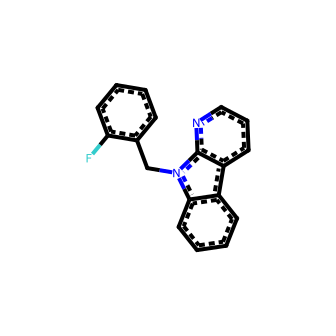 Fc1ccccc1Cn1c2ccccc2c2cccnc21